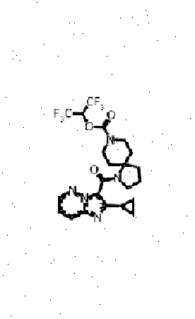 O=C(OC(C(F)(F)F)C(F)(F)F)N1CCC2(CCCN2C(=O)c2c(C3CC3)nc3cccnn23)CC1